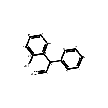 O=CC(c1ccccc1)c1ccccc1F